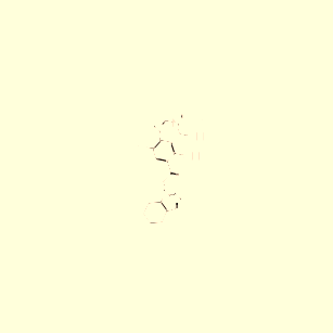 CCN(C)/C=N\c1cc(C)c(C(=O)Cn2ncc3c2CCCC3)cc1C